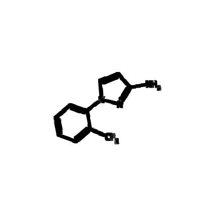 Nc1ccn(-c2ccccc2C(F)(F)F)n1